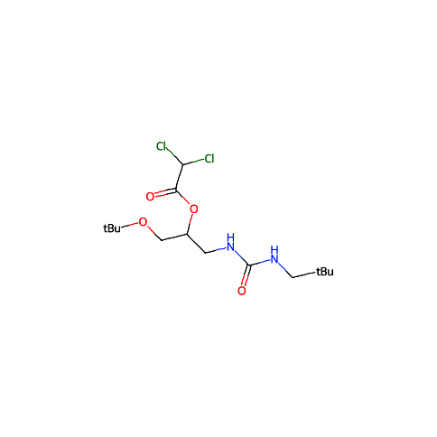 CC(C)(C)CNC(=O)NCC(COC(C)(C)C)OC(=O)C(Cl)Cl